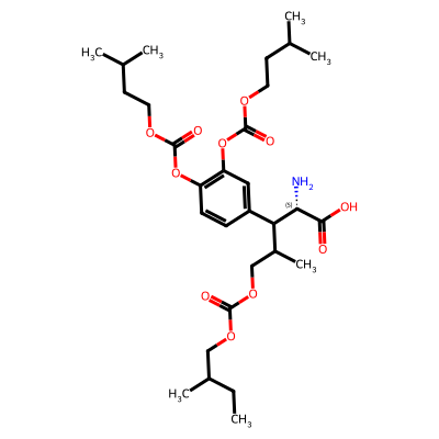 CCC(C)COC(=O)OCC(C)C(c1ccc(OC(=O)OCCC(C)C)c(OC(=O)OCCC(C)C)c1)[C@H](N)C(=O)O